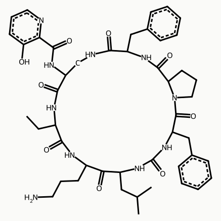 CCC1NC(=O)C(NC(=O)c2ncccc2O)CNC(=O)C(Cc2ccccc2)NC(=O)C2CCCN2C(=O)C(Cc2ccccc2)NC(=O)NC(CC(C)C)C(=O)C(CCCN)NC1=O